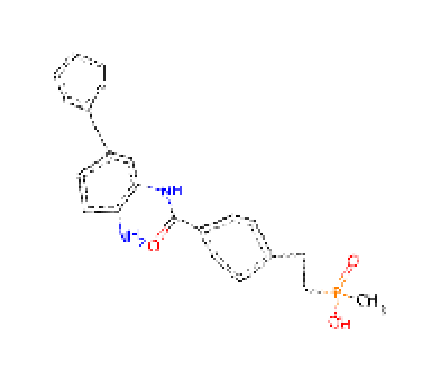 CP(=O)(O)CCc1ccc(C(=O)Nc2cc(-c3ccccc3)ccc2N)cc1